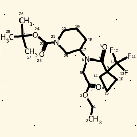 CCOC(=O)CN(C(=O)C1(C(F)(F)F)CCC1)C1CCCN(C(=O)OC(C)(C)C)C1